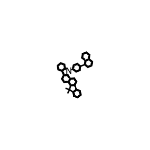 CC1(C)c2ccccc2-c2ccc3c(ccc4c5ccccc5n(-c5ccc(-c6cccc7ccccc67)cc5)c34)c21